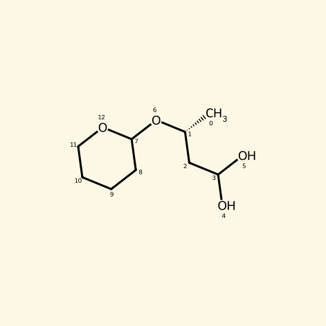 C[C@H](CC(O)O)OC1CCCCO1